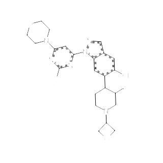 Cc1nc(N2CCOCC2)cc(-n2ncc3cc(C)c(C4CCN(C5COC5)CC4F)cc32)n1